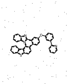 c1ccc(-c2cccc(Oc3ccc4c(c3)c3nc5ccccc5n3c3c4ccc4sc5ccccc5c43)c2)nc1